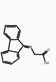 O=C(O)CN=C1c2ccccc2-c2ccccc21